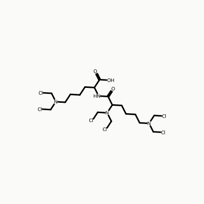 O=C(O)C(CCCCN(CCl)CCl)NC(=O)C(CCCCN(CCl)CCl)N(CCl)CCl